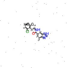 Cc1cc(C(=O)N[C@@H](CC(=O)O)Cc2ccccc2Cl)cc2[nH]nnc12